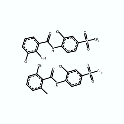 Cc1cccc(O)c1C(=O)Nc1ccc(S(=O)(=O)C(F)(F)F)cc1Cl.O=C(Nc1ccc(S(=O)(=O)C(F)(F)F)cc1Cl)c1cccc(Cl)c1O